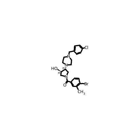 Cc1cc(C(=O)N2C[C@@H](O)[C@H](N3CCN(Cc4ccc(Cl)cc4)CC3)C2)ccc1Br